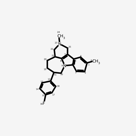 Cc1ccc2c(c1)c1c3n2CC(c2ccc(F)cc2)CCC3CN(C)C1